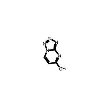 Oc1ccn2nnnc2n1